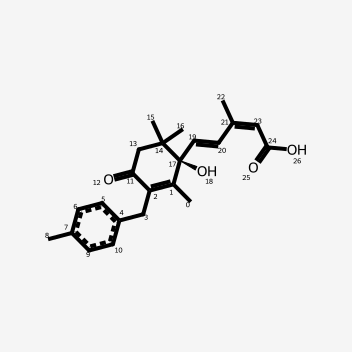 CC1=C(Cc2ccc(C)cc2)C(=O)CC(C)(C)[C@]1(O)/C=C/C(C)=C\C(=O)O